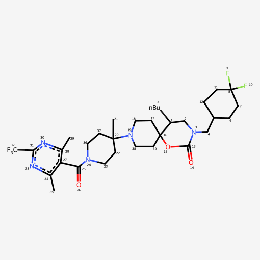 CCCCC1CN(CC2CCC(F)(F)CC2)C(=O)OC12CCN(C1(C)CCN(C(=O)c3c(C)nc(C(F)(F)F)nc3C)CC1)CC2